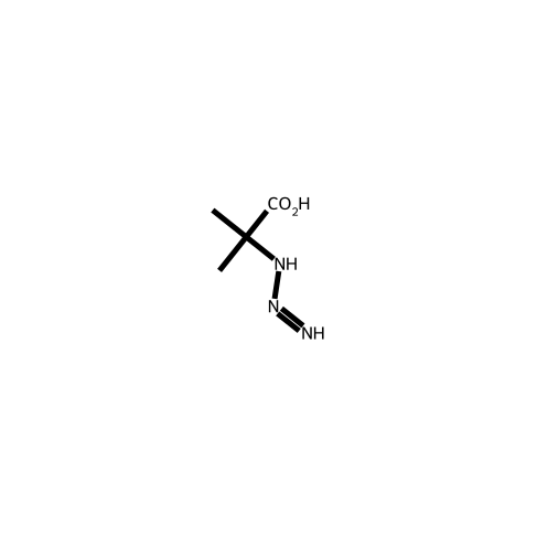 CC(C)(NN=N)C(=O)O